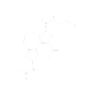 CCC(C)n1nc(C(=O)N(C)CCO)c2c1-c1sc(NC(C)=O)nc1CCC2